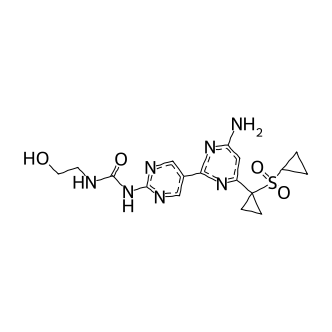 Nc1cc(C2(S(=O)(=O)C3CC3)CC2)nc(-c2cnc(NC(=O)NCCO)nc2)n1